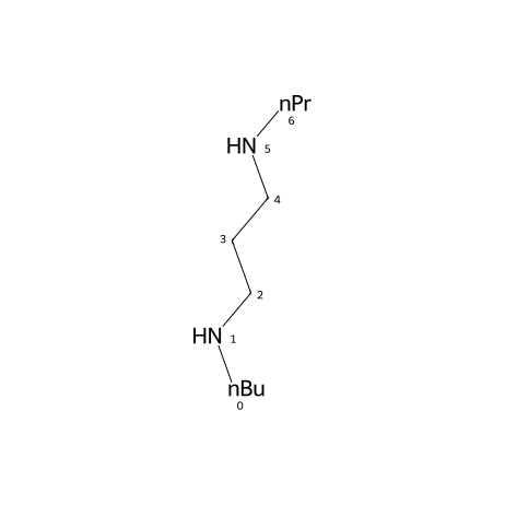 CCCCNCCCNCCC